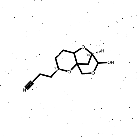 N#CCC[C@H]1CCC2O[C@@H]3CC2(COC3O)O1